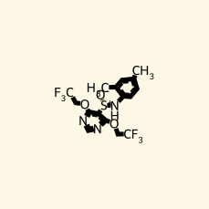 Cc1ccc(N[S+]([O-])c2c(OCC(F)(F)F)ncnc2OCC(F)(F)F)c(C)c1